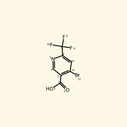 O=C(O)c1cnc(C(F)(F)F)cc1Br